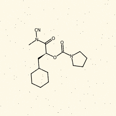 CN(C#N)C(=O)[C@H](CC1CCCCC1)OC(=O)N1CCCC1